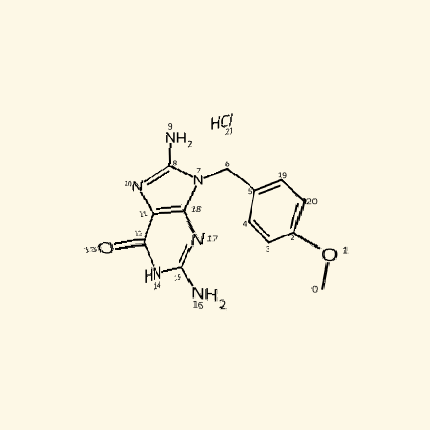 COc1ccc(Cn2c(N)nc3c(=O)[nH]c(N)nc32)cc1.Cl